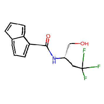 O=C(N[C@H](CO)CC(F)(F)F)C1=CC=C2C=CC=C21